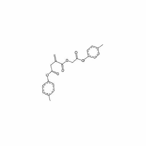 C=C(CC(=O)Oc1ccc(C)cc1)C(=O)OCC(=O)Oc1ccc(C)cc1